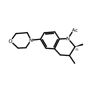 CC(=O)N1c2ccc(N3CCOCC3)cc2CC(C)[C@@H]1C